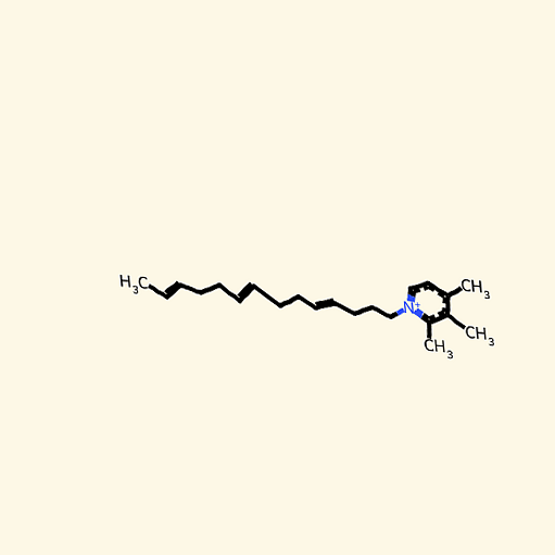 CC=CCCC=CCCC=CCCC[n+]1ccc(C)c(C)c1C